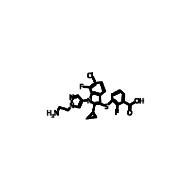 NCCn1cc(-n2c(C3CC3)c(Sc3cccc(C(=O)O)c3F)c3ccc(Cl)c(F)c32)cn1